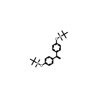 C=C(c1ccc(O[Si](C)(C)C(C)(C)C)cc1)c1ccc(O[Si](C)(C)C(C)(C)C)cc1